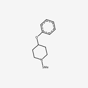 CSN1CCC(Oc2ccccc2)CC1